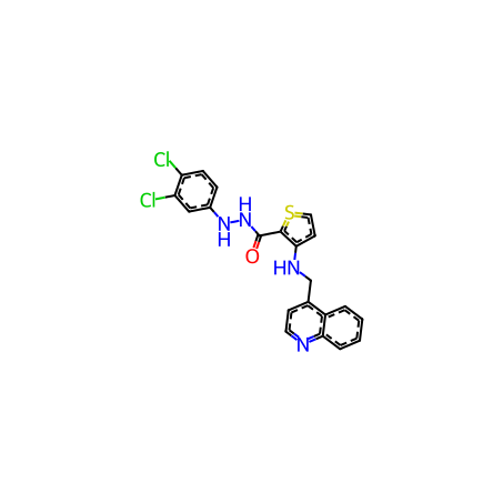 O=C(NNc1ccc(Cl)c(Cl)c1)c1sccc1NCc1ccnc2ccccc12